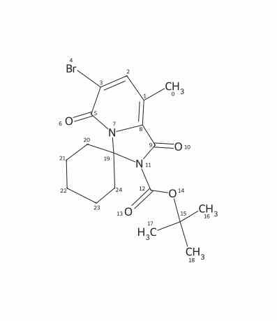 Cc1cc(Br)c(=O)n2c1C(=O)N(C(=O)OC(C)(C)C)C21CCCCC1